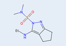 CCNc1c2c(nn1S(=O)(=O)N(C)C)CCC2